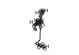 CC(C)(C)[C@H](NC(=O)c1cc2cc(C(F)(F)P(=O)(O)O)ccc2s1)C(=O)N1C[C@@H](OCCCCCCCCCCC#Cc2cccc3c2CN(C2CCC(=O)NC2=O)C3=O)C[C@H]1C(=O)N1CCOC(c2ccccc2)C1